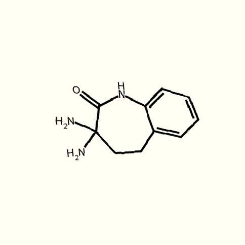 NC1(N)CCc2ccccc2NC1=O